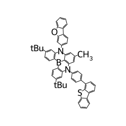 Cc1cc2c3c(c1)N(c1ccc4c(c1)oc1ccccc14)c1cc(C(C)(C)C)ccc1B3c1ccc(C(C)(C)C)cc1N2c1ccc(-c2cccc3c2sc2ccccc23)cc1